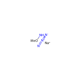 CON.[N-]=[N+]=[N-].[Na+]